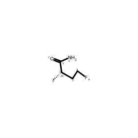 C[C@@H]([CH]CF)C(N)=O